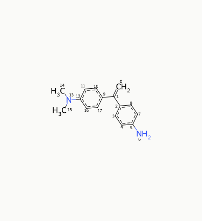 C=C(c1ccc(N)cc1)c1ccc(N(C)C)cc1